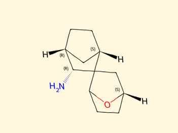 N[C@@H]1[C@@H]2CC[C@@H](C2)C12C[C@@H]1CCC2O1